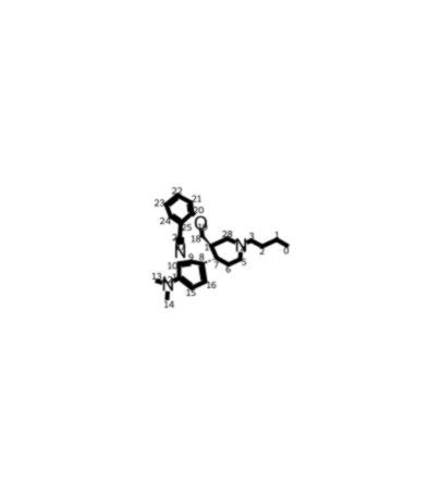 CCCCN1CC[C@H](c2ccc(N(C)C)cc2)[C@@H](COc2ccccc2C#N)C1